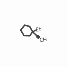 C#CC1([CH]C)CCCCC1